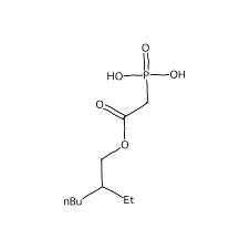 CCCCC(CC)COC(=O)CP(=O)(O)O